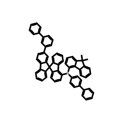 CC1(C)c2ccccc2-c2c(N(c3ccc(-c4ccccc4)cc3)c3cccc4c3-c3ccccc3C43c4ccccc4-c4ccc(-c5cccc(-c6ccccc6)c5)cc43)cccc21